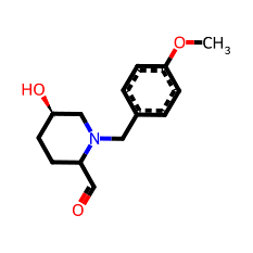 COc1ccc(CN2C[C@H](O)CCC2C=O)cc1